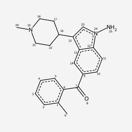 Cc1ccccc1C(=O)c1ccc2c(c1)c(C1CCN(C)CC1)cn2N